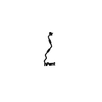 CCCCCCCCC#CCC#CCBr